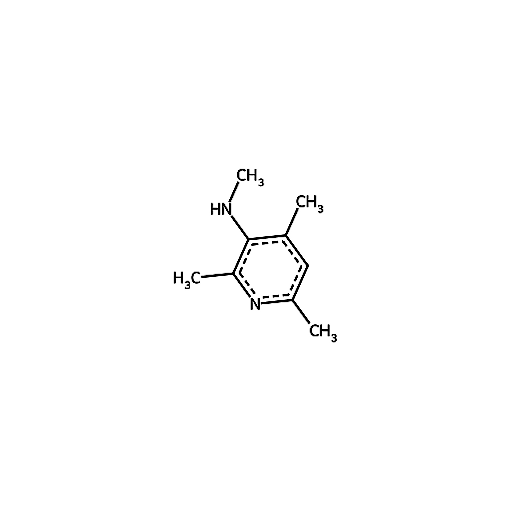 CNc1c(C)cc(C)nc1C